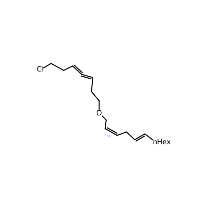 CCCCCCC=CC/C=C\COCCC=C=CCCCl